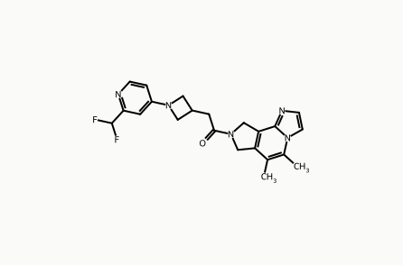 Cc1c2c(c3nccn3c1C)CN(C(=O)CC1CN(c3ccnc(C(F)F)c3)C1)C2